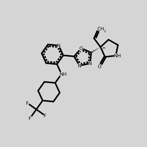 C=C[C@@]1(c2nnc(-c3ncccc3NC3CCC(C(F)(F)F)CC3)o2)CCNC1=O